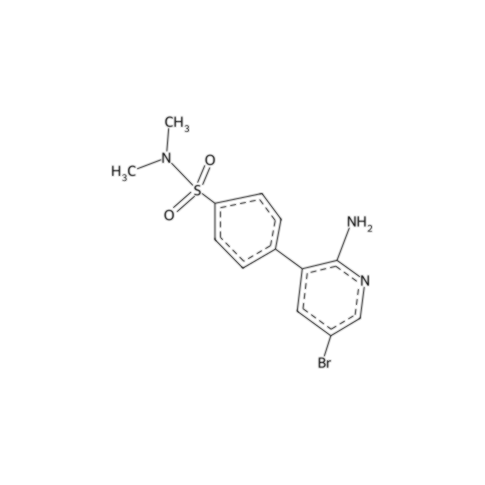 CN(C)S(=O)(=O)c1ccc(-c2cc(Br)cnc2N)cc1